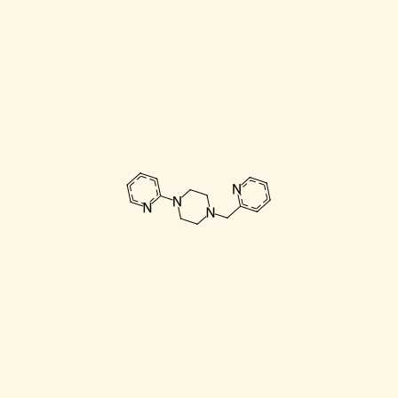 c1ccc(CN2CCN(c3ccccn3)CC2)nc1